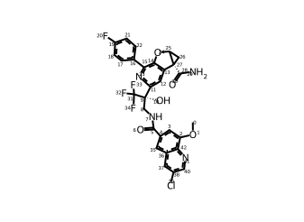 COc1cc(C(=O)NC[C@](O)(c2cc3c(c(-c4ccc(F)cc4)n2)OC2C[C@@]32C(N)=O)C(F)(F)F)cc2cc(Cl)cnc12